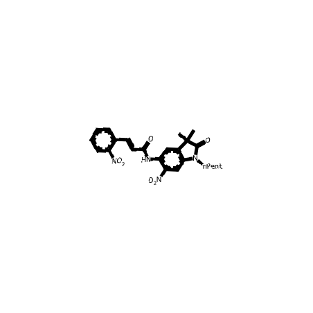 CCCCCN1C(=O)C(C)(C)c2cc(NC(=O)C=Cc3ccccc3[N+](=O)[O-])c([N+](=O)[O-])cc21